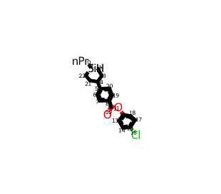 CCC[SiH]1CCC(c2ccc(C(=O)Oc3ccc(Cl)cc3)cc2)CC1